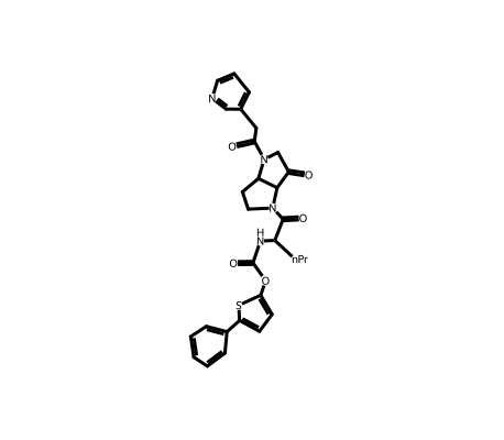 CCCC(NC(=O)Oc1ccc(-c2ccccc2)s1)C(=O)N1CCC2C1C(=O)CN2C(=O)Cc1cccnc1